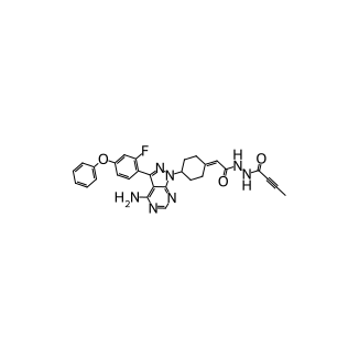 CC#CC(=O)NNC(=O)C=C1CCC(n2nc(-c3ccc(Oc4ccccc4)cc3F)c3c(N)ncnc32)CC1